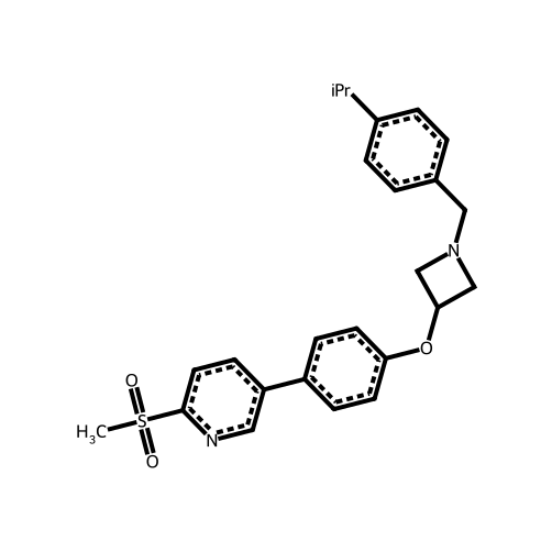 CC(C)c1ccc(CN2CC(Oc3ccc(-c4ccc(S(C)(=O)=O)nc4)cc3)C2)cc1